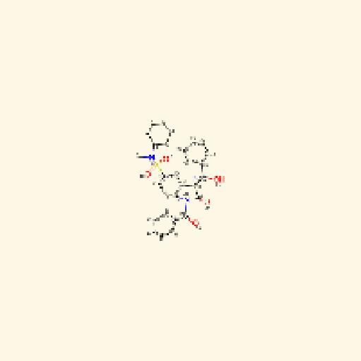 CN(C1CCCCC1)S(=O)(=O)c1ccc2c(c1)/C(=C(/O)c1ccccc1)C(=O)N2C(=O)c1ccccc1